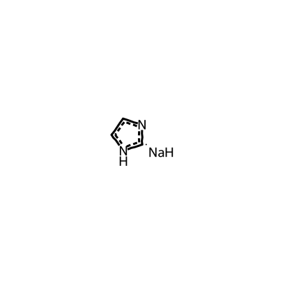 [NaH].[c]1ncc[nH]1